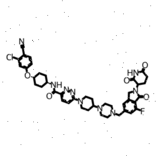 N#Cc1ccc(O[C@H]2CC[C@H](NC(=O)c3ccc(N4CCC(N5CCN(Cc6cc(F)c7c(c6)CN(C6CCC(=O)NC6=O)C7=O)CC5)CC4)nn3)CC2)cc1Cl